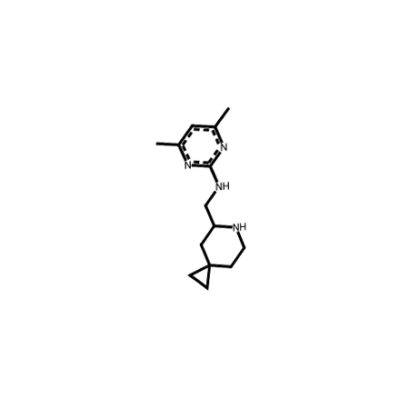 Cc1cc(C)nc(NCC2CC3(CCN2)CC3)n1